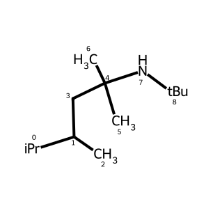 CC(C)C(C)CC(C)(C)NC(C)(C)C